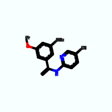 C=C(Nc1ccc(C#N)cn1)c1cc(OCC(C)C)cc(OC(C)C)c1